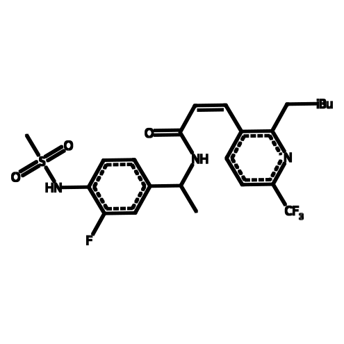 CCC(C)Cc1nc(C(F)(F)F)ccc1/C=C\C(=O)NC(C)c1ccc(NS(C)(=O)=O)c(F)c1